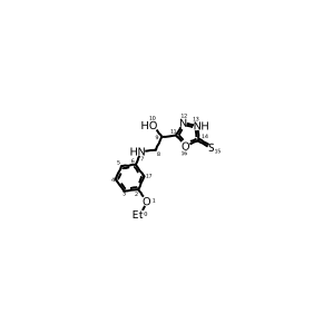 CCOc1cccc(NCC(O)c2n[nH]c(=S)o2)c1